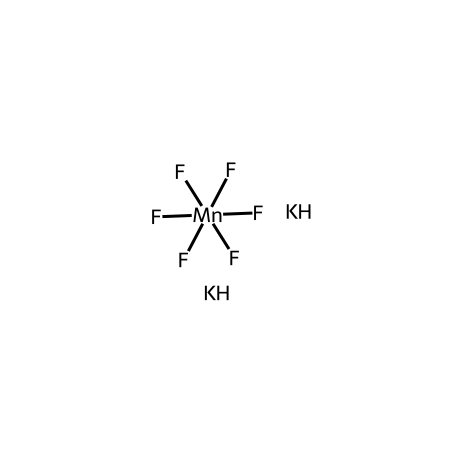 [F][Mn]([F])([F])([F])([F])[F].[KH].[KH]